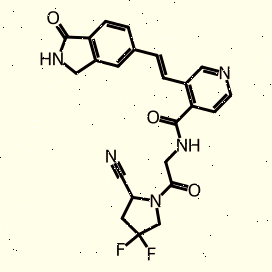 N#CC1CC(F)(F)CN1C(=O)CNC(=O)c1ccncc1C=Cc1ccc2c(c1)CNC2=O